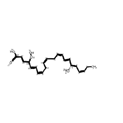 CC/C=C\C[C@H](O)/C=C/C=C\C/C=C\C/C=C\C=C\C(CCC(=O)O)OO